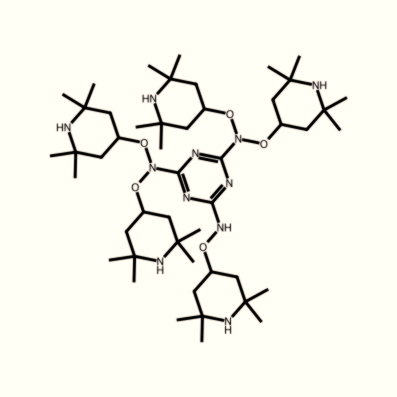 CC1(C)CC(ONc2nc(N(OC3CC(C)(C)NC(C)(C)C3)OC3CC(C)(C)NC(C)(C)C3)nc(N(OC3CC(C)(C)NC(C)(C)C3)OC3CC(C)(C)NC(C)(C)C3)n2)CC(C)(C)N1